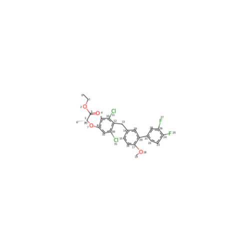 CCOC(=O)[C@@H](C)Oc1cc(Cl)c(Cc2ccc(OC)c(-c3ccc(F)c(F)c3)c2)c(Cl)c1